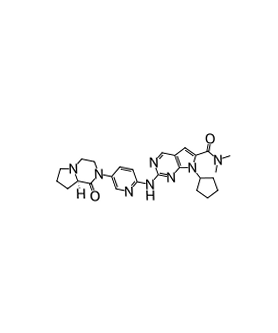 CN(C)C(=O)c1cc2cnc(Nc3ccc(N4CCN5CCC[C@@H]5C4=O)cn3)nc2n1C1CCCC1